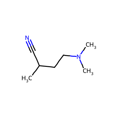 CC(C#N)CCN(C)C